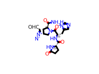 NC(=O)[C@@H]1CCCN1C(=O)[C@H](Cc1cnc[nH]1)NC(=O)[C@@H]1CCC(=O)N1.[N-]=[N+]=CC=O